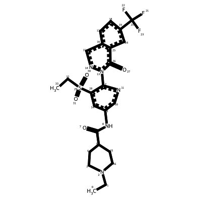 CCN1CCC(C(=O)Nc2cnc(-n3ncc4ccc(C(F)(F)F)cc4c3=O)c(S(=O)(=O)CC)c2)CC1